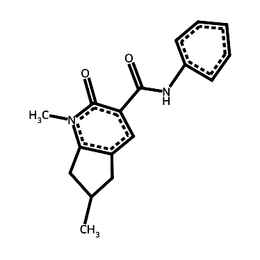 CC1Cc2cc(C(=O)Nc3ccccc3)c(=O)n(C)c2C1